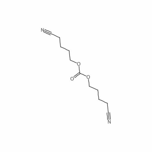 N#CCCCCOC(=O)OCCCCC#N